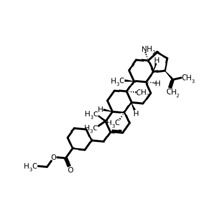 C=C(C)[C@@H]1CC[C@]2(N)CC[C@]3(C)[C@H](CC[C@@H]4[C@@]5(C)CC=C(CC6CCCC(C(=O)OCC)C6)C(C)(C)[C@@H]5CC[C@]43C)[C@@H]12